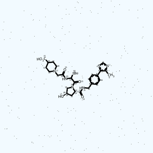 Cc1ncsc1-c1ccc(CNC(=O)[C@@H]2C[C@@H](O)CN2C(=O)C(NC(=O)CN2CCC(C(=O)O)CC2)C(C)(C)C)cc1